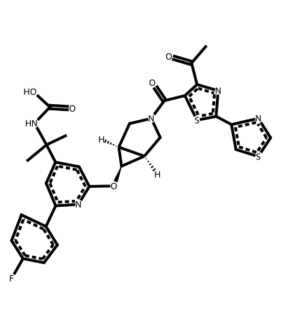 CC(=O)c1nc(-c2cscn2)sc1C(=O)N1C[C@@H]2[C@H](C1)[C@@H]2Oc1cc(C(C)(C)NC(=O)O)cc(-c2ccc(F)cc2)n1